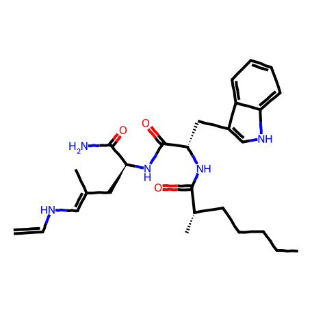 C=CN/C=C(\C)C[C@H](NC(=O)[C@H](Cc1c[nH]c2ccccc12)NC(=O)[C@@H](C)CCCCC)C(N)=O